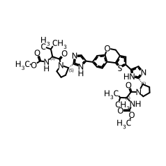 COC(=O)N[C@H](C(=O)N1CCC[C@H]1c1ncc(-c2ccc3c(c2)OCc2cc(-c4cnc([C@@H]5CCCN5C(=O)[C@@H](NC(=O)OC)C(C)C)[nH]4)sc2-3)[nH]1)C(C)C